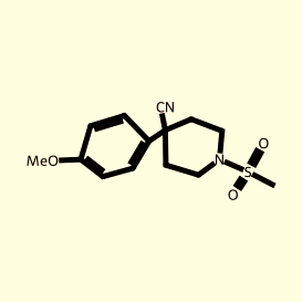 COc1ccc(C2(C#N)CCN(S(C)(=O)=O)CC2)cc1